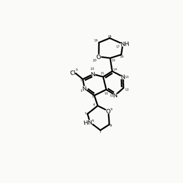 Clc1nc(C2CNCCO2)c2ncnc(C3CNCCO3)c2n1